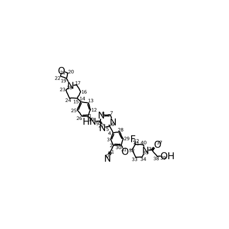 N#Cc1cc(-c2ncnc(Nc3ccc(C4CCN(C5COC5)CC4)cc3)n2)ccc1O[C@H]1CCN(C(=O)CO)C[C@@H]1F